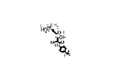 C[Si](C)(C)C#CC(O)C/C(O)=C(\C#N)C(=O)Nc1ccc(C(F)(F)F)cc1